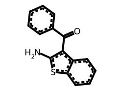 Nc1sc2ccccc2c1C(=O)c1ccccc1